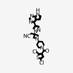 N#CCC1(n2cc(-c3ncnc4[nH]ccc34)cn2)CN(C2CCN(C(=O)c3cc(Cl)sc3Cl)CC2)C1